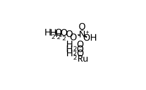 O.O.O.O.O.O.O=[N+]([O-])O.[Ru]